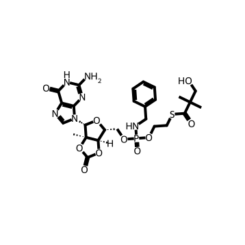 CC(C)(CO)C(=O)SCCOP(=O)(NCc1ccccc1)OC[C@H]1O[C@@H](n2cnc3c(=O)[nH]c(N)nc32)[C@]2(C)OC(=O)O[C@H]12